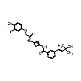 CC(C)(O)C=Cc1ccnc(C(=O)NC23CC(NC(=O)COc4ccc(Cl)c(F)c4)(C2)C3)c1